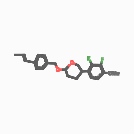 C/C=C/c1ccc(COC2CCC(c3ccc(OC)c(F)c3F)CO2)cc1